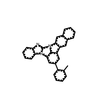 Cc1ccccc1-c1cc2c3cc4ccccc4cc3n3c2c(c1)n1c2ccccc2nc13